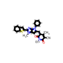 CCN1C(=O)C(C#N)=C(C)/C(=C/c2cc3c(nc(-c4cc5ccccc5s4)n3C)n2-c2ccccc2)C1=O